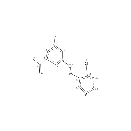 C=C(C)c1cc(C)cc(OCc2ccccc2Cl)c1